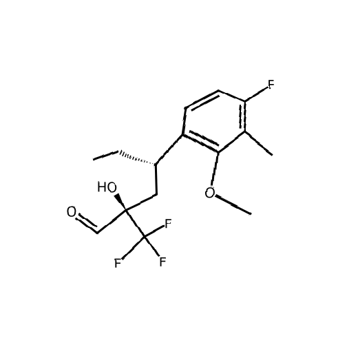 CC[C@@H](C[C@@](O)(C=O)C(F)(F)F)c1ccc(F)c(C)c1OC